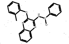 Cc1ccccc1Oc1nc2ccccc2nc1N[S+]([O-])c1ccccc1